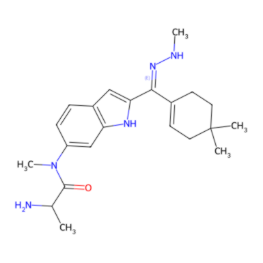 CN/N=C(\C1=CCC(C)(C)CC1)c1cc2ccc(N(C)C(=O)C(C)N)cc2[nH]1